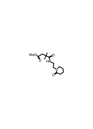 COC(=O)CC(C)(C)C(=O)NCCN1CCCCC1=O